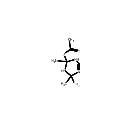 CC(=O)OC1(N)NC=NC(C)(C)N1